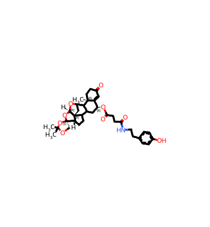 CC1(C)OC[C@@]2(O[C@H]3OC4C[C@]35C(CC[C@H]25)C2C[C@@H](OC(=O)CCC(=O)NCCc3ccc(O)cc3)C3=CC(=O)CC[C@]3(C)C42)O1